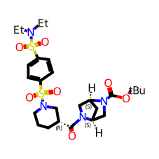 CCN(CC)S(=O)(=O)c1ccc(S(=O)(=O)N2CCC[C@@H](C(=O)N3C[C@@H]4C[C@H]3CN4C(=O)OC(C)(C)C)C2)cc1